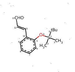 CC(C)(C)[Si](C)(C)Oc1ccccc1C=C[C]=O